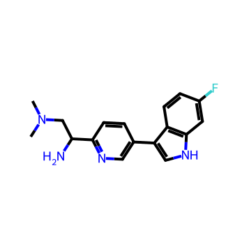 CN(C)CC(N)c1ccc(-c2c[nH]c3cc(F)ccc23)cn1